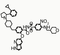 O=C(NS(=O)(=O)c1ccc(NCC2CCOCC2)c([N+](=O)[O-])c1)c1ccc(CC2CCC(N3CCCC3c3ccccc3C3CC3)CC2)cc1Oc1cnc2[nH]ccc2c1